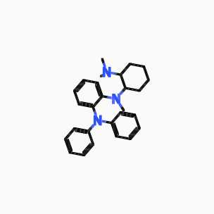 CN(C)C1CCCCC1N(C)c1ccccc1N(c1ccccc1)c1ccccc1